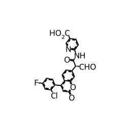 O=C[C@H](C(=O)Nc1ccc(C(=O)O)cn1)c1ccc2c(-c3ccc(F)cc3Cl)cc(=O)oc2c1